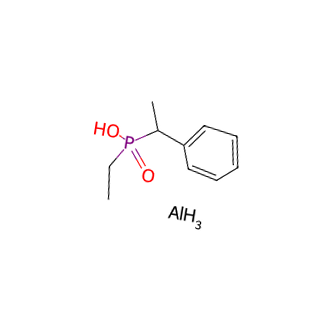 CCP(=O)(O)C(C)c1ccccc1.[AlH3]